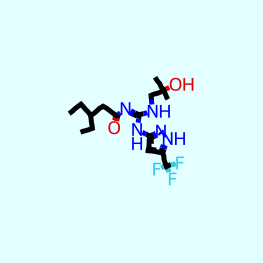 CCC(CC)CC(=O)/N=C(/NCC(C)(C)O)Nc1cc(C(F)(F)F)[nH]n1